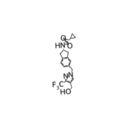 O=S(=O)(N[C@H]1Cc2ccc(Cn3cc(CO)c(C(F)(F)F)n3)cc2C1)C1CC1